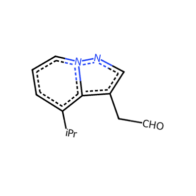 CC(C)c1cccn2ncc(CC=O)c12